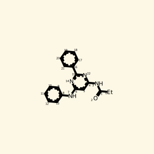 CCC(=O)Nc1cc(Nc2ccccc2)nc(-c2ccccc2)n1